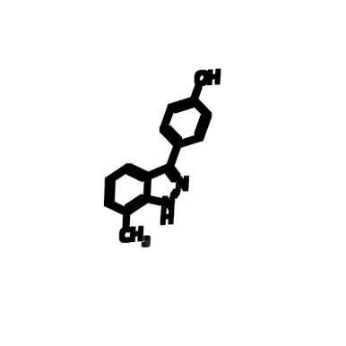 Cc1cccc2c(-c3ccc(O)cc3)n[nH]c12